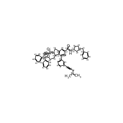 CN(C)CC#Cc1cccc(-c2nc(C(=O)N[C@H]3CCN(Cc4ccccc4)C3)cc3c2[C@@H](CCO[Si](c2ccccc2)(c2ccccc2)C(C)(C)C)N([S@+]([O-])C(C)(C)C)C3)c1